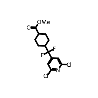 COC(=O)C1CCC(C(F)(F)c2cc(Cl)nc(Cl)c2)CC1